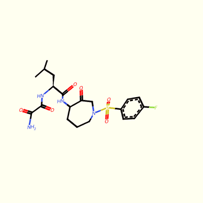 CC(C)C[C@H](NC(=O)C(N)=O)C(=O)NC1CCCN(S(=O)(=O)c2ccc(F)cc2)CC1=O